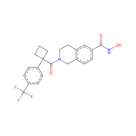 O=C(NO)c1ccc2c(c1)CCN(C(=O)C1(c3ccc(C(F)(F)F)cc3)CCC1)C2